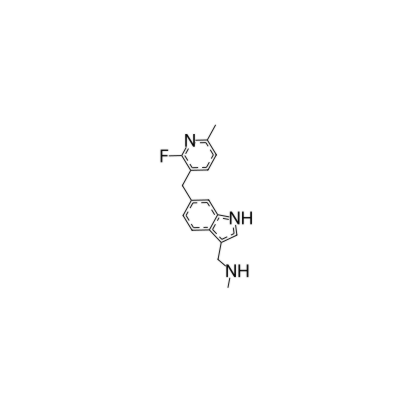 CNCc1c[nH]c2cc(Cc3ccc(C)nc3F)ccc12